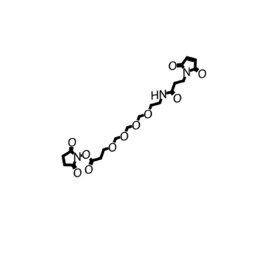 O=C(CCN1C(=O)C=CC1=O)NCCOCOCOCOCCC(=O)ON1C(=O)CCC1=O